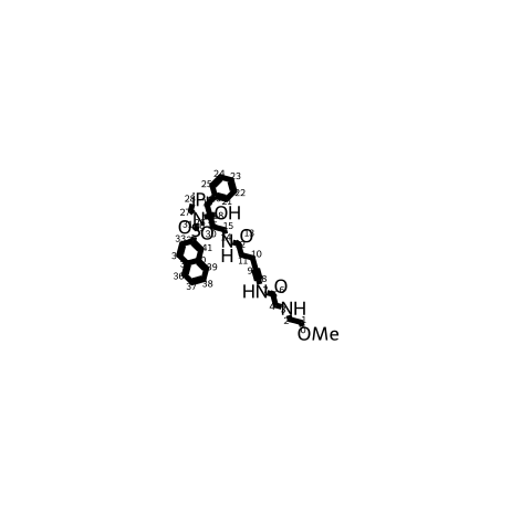 COCCNCC(=O)NC#CCCC(=O)NCCC(O)(Cc1ccccc1)N(CC(C)C)S(=O)(=O)c1ccc2ccccc2c1